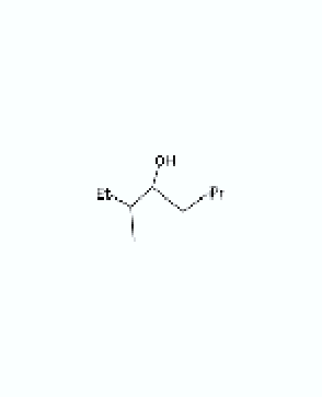 CCC(C)C(O)CC(C)C